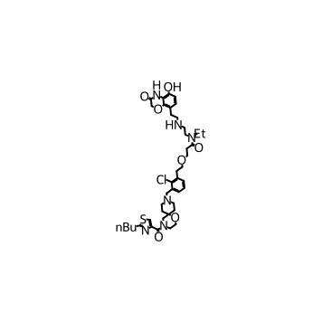 CCCCc1nc(C(=O)N2CCOC3(CCN(Cc4cccc(CCOCCC(=O)N(CC)CCNCCc5ccc(O)c6c5OCC(=O)N6)c4Cl)CC3)C2)cs1